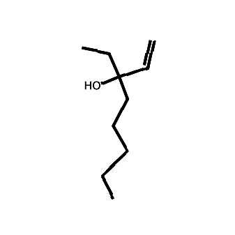 C=CC(O)(CC)CCCCC